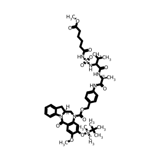 COC(=O)CCCCC(=O)NS(=O)(=O)NC(C(=O)N[C@@H](C)C(=O)Nc1ccc(COC(=O)N2C[C@@H]3Cc4ccccc4N3C(=O)c3cc(OC)c(O[Si](C)(C)C(C)(C)C)cc32)cc1)C(C)C